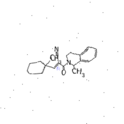 CC1c2ccccc2CCN1C(=O)/C(C#N)=C/C1(C)CCCCC1